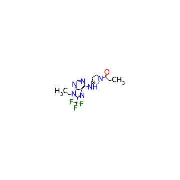 CCC(=O)N1CC[C@H](Nc2ncnc3c2nc(C(F)(F)F)n3CC)C1